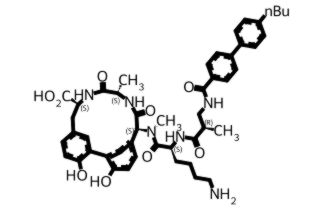 CCCCc1ccc(-c2ccc(C(=O)NC[C@@H](C)C(=O)N[C@@H](CCCCN)C(=O)N(C)[C@@H]3C(=O)N[C@@H](C)C(=O)N[C@H](C(=O)O)Cc4ccc(O)c(c4)-c4cc3ccc4O)cc2)cc1